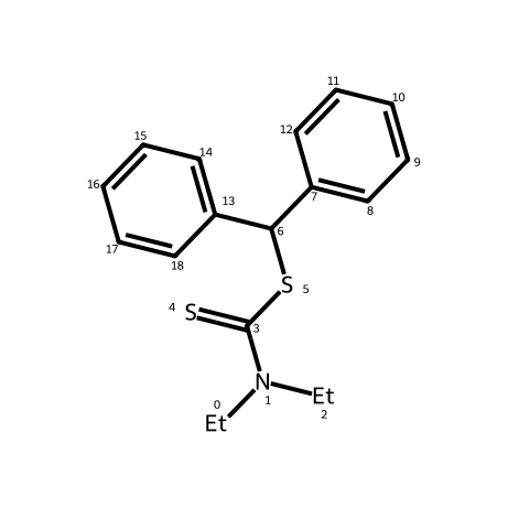 CCN(CC)C(=S)SC(c1ccccc1)c1ccccc1